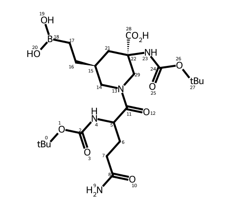 CC(C)(C)OC(=O)NC(CCC(N)=O)C(=O)N1C[C@@H](CCB(O)O)C[C@](NC(=O)OC(C)(C)C)(C(=O)O)C1